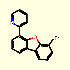 CC(C)c1cccc2c1oc1c(-c3ccccn3)cccc12